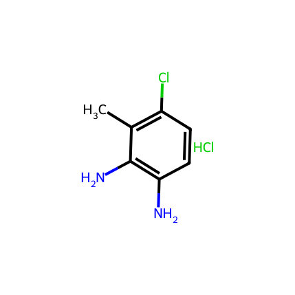 Cc1c(Cl)ccc(N)c1N.Cl